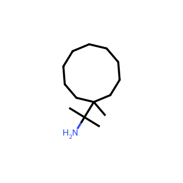 CC(C)(N)C1(C)CCCCCCCCC1